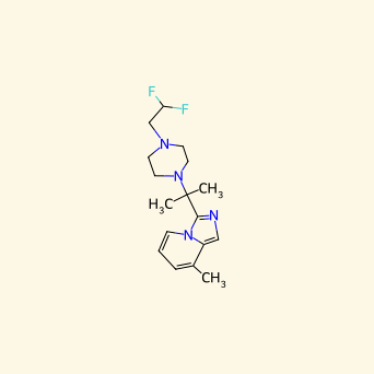 Cc1cccn2c(C(C)(C)N3CCN(CC(F)F)CC3)ncc12